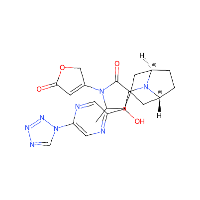 CC1CC2(C[C@H]3CC[C@H](C2)N3CC(O)c2cnc(-n3cnnn3)cn2)C(=O)N1C1=CC(=O)OC1